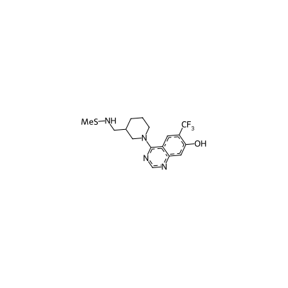 CSNCC1CCCN(c2ncnc3cc(O)c(C(F)(F)F)cc23)C1